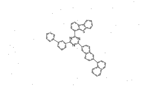 c1ccc(-c2cccc(-c3nc(-c4ccc5cc(-c6cccc7ccccc67)ccc5c4)nc(-c4cccc5c4sc4ccccc45)n3)c2)cc1